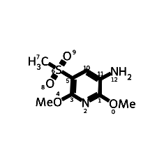 COc1nc(OC)c(S(C)(=O)=O)cc1N